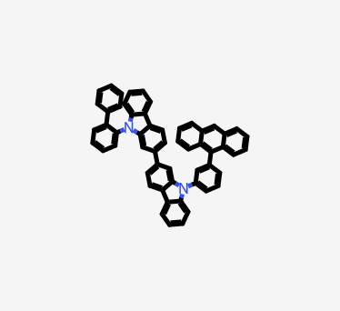 c1ccc(-c2ccccc2-n2c3ccccc3c3ccc(-c4ccc5c6ccccc6n(-c6cccc(-c7c8ccccc8cc8ccccc78)c6)c5c4)cc32)cc1